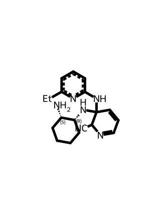 CCc1cccc(NC2(N[C@@H]3CCCC[C@@H]3N)C=CC=NC2C#N)n1